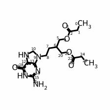 CCC(=O)OCC(CCN1CNc2c1nc(N)[nH]c2=O)COC(=O)CC